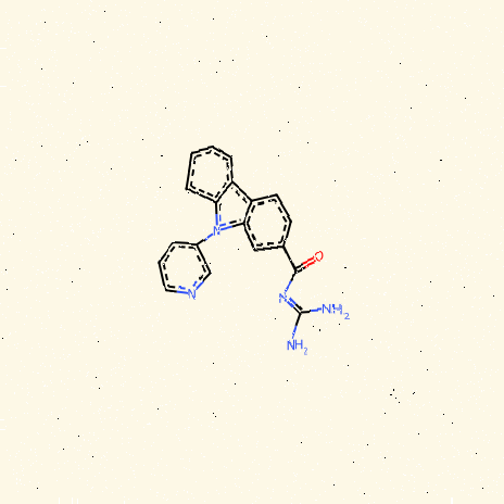 NC(N)=NC(=O)c1ccc2c3ccccc3n(-c3cccnc3)c2c1